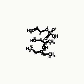 C=CCOS(=O)(=O)O.CC(O)CO.CCOCC